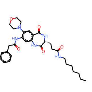 CCCCCCCNC(=O)CC[C@H]1NC(=O)c2cc(N3CCOCC3)c(NC(=O)Cc3ccccc3)cc2NC1=O